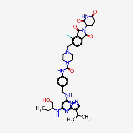 CC[C@@H](CO)Nc1cc(NCc2ccc(NC(=O)N3CCN(Cc4ccc5c(c4F)C(=O)N(C4CCC(=O)NC4=O)C5=O)CC3)cc2)n2ncc(C(C)C)c2n1